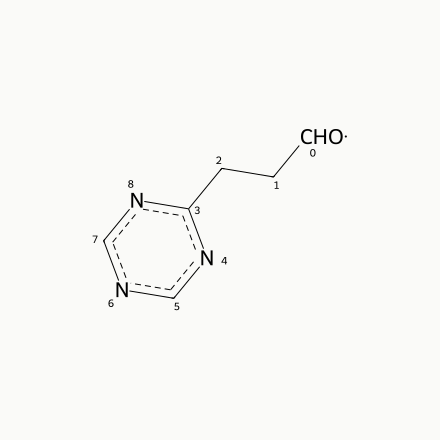 O=[C]CCc1ncncn1